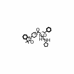 CC1(C)C(=O)N(C2CCN(C(=O)[C@H](CCc3ccccc3)NC(=O)CNC3CCCC3)CC2)c2ccccc21